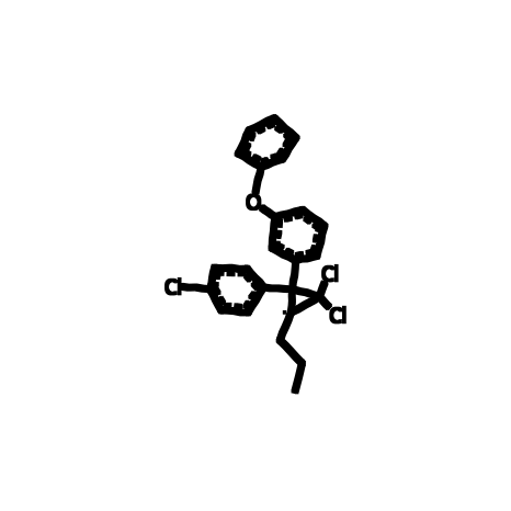 CCC[C]1C(Cl)(Cl)C1(c1ccc(Cl)cc1)c1cccc(Oc2ccccc2)c1